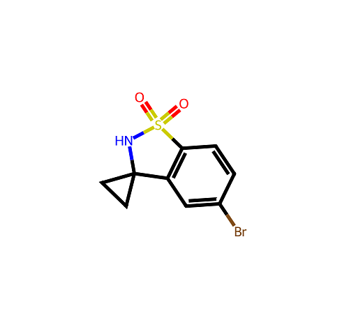 O=S1(=O)NC2(CC2)c2cc(Br)ccc21